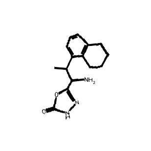 CC(c1cccc2c1CCCC2)C(N)c1n[nH]c(=O)o1